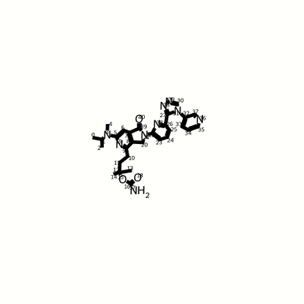 CC(C)N(C)c1cc2c(c(CCC(C)(C)OC(N)=O)n1)CN(c1cccc(-c3nncn3-c3cccnc3)n1)C2=O